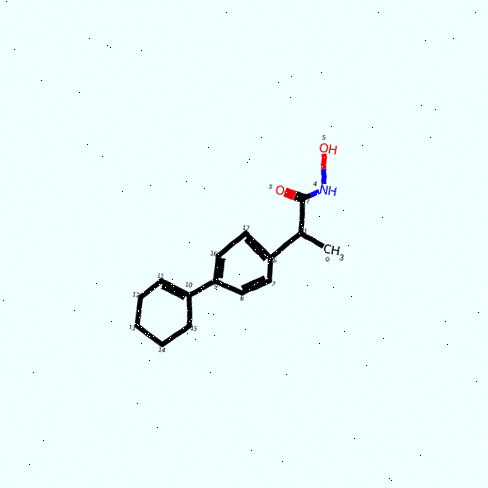 CC(C(=O)NO)c1ccc(C2=CCCCC2)cc1